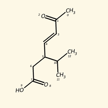 CC(=O)/C=C/C(CC(=O)O)C(C)C